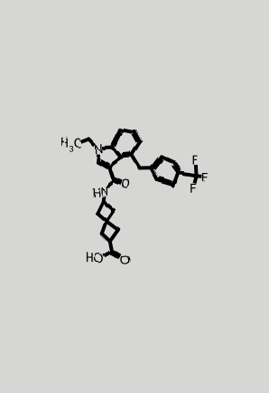 CCn1cc(C(=O)NC2CC3(C2)CC(C(=O)O)C3)c2c(Cc3ccc(C(F)(F)F)cc3)cccc21